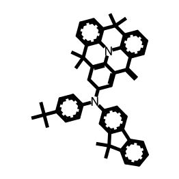 C=C1C2=CC(N(c3ccc(C(C)(C)C)cc3)c3ccc4c(c3)C(C)(C)c3ccccc3-4)CC3=C2N2c4c1cccc4C(C)(C)c1cccc(c12)C3(C)C